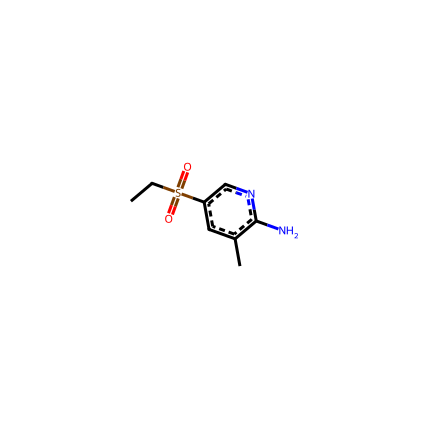 CCS(=O)(=O)c1cnc(N)c(C)c1